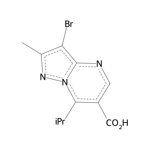 Cc1nn2c(C(C)C)c(C(=O)O)cnc2c1Br